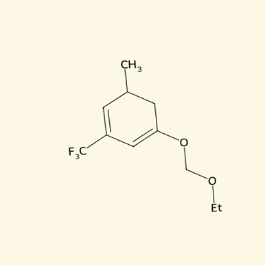 CCOCOC1=CC(C(F)(F)F)=CC(C)C1